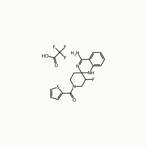 NC1=NC2(CCN(C(=O)c3cccs3)CC2F)Nc2ccccc21.O=C(O)C(F)(F)F